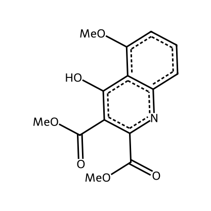 COC(=O)c1nc2cccc(OC)c2c(O)c1C(=O)OC